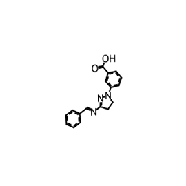 O=C(O)c1cccc(N2CCC(N=Cc3ccccc3)=N2)c1